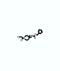 CC1(CNC(=O)OCc2ccccc2)CCCN(C(=O)CCl)CC1